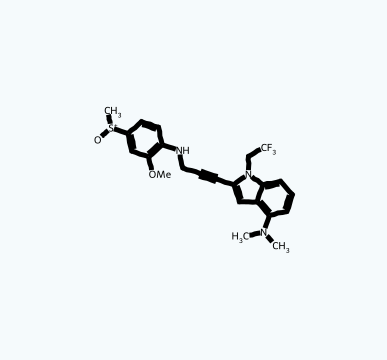 COc1cc([S+](C)[O-])ccc1NCC#Cc1cc2c(N(C)C)cccc2n1CC(F)(F)F